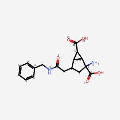 NC1(C(=O)O)CC(CC(=O)NCc2ccccc2)C2C(C(=O)O)C21